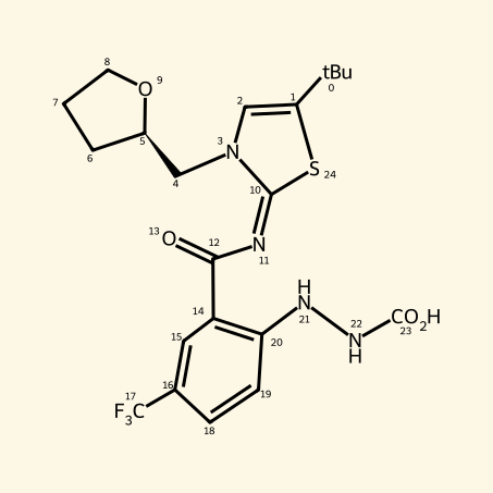 CC(C)(C)c1cn(C[C@H]2CCCO2)c(=NC(=O)c2cc(C(F)(F)F)ccc2NNC(=O)O)s1